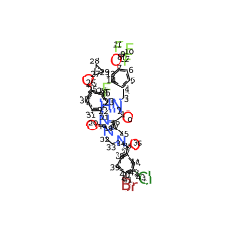 O=C(NCc1ccc(OC(F)(F)F)cc1F)c1c2n(c(=O)n1-c1ccc(OC3CC3)cc1)CCN(C(=O)c1ccc(Br)c(Cl)c1)C2